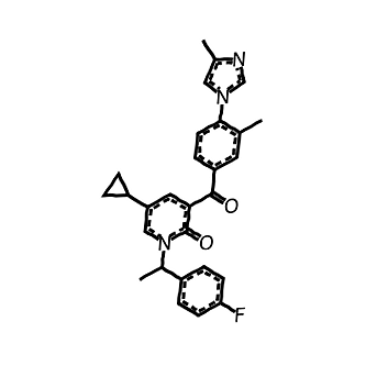 Cc1cn(-c2ccc(C(=O)c3cc(C4CC4)cn(C(C)c4ccc(F)cc4)c3=O)cc2C)cn1